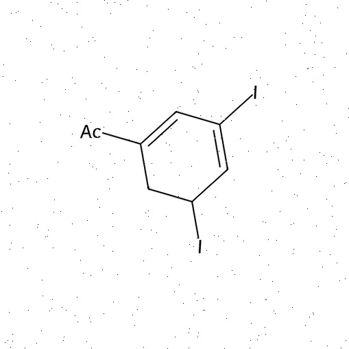 CC(=O)C1=CC(I)=CC(I)C1